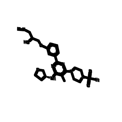 CCS(=O)(=O)N1CCN(c2nc(-c3cccc(OCC(O)CNC)c3)nc(N[C@@H]3CCOC3)c2C)CC1